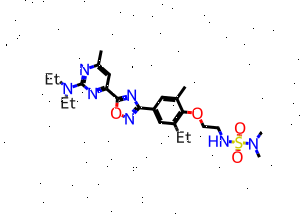 CCc1cc(-c2noc(-c3cc(C)nc(N(CC)CC)n3)n2)cc(C)c1OCCNS(=O)(=O)N(C)C